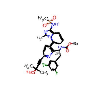 Cc1nc(NS(C)(=O)=O)c2cccc(-c3ccc(C#CC(C)(C)O)nc3[C@H](Cc3cc(F)cc(F)c3)NC(=O)OC(C)(C)C)n12